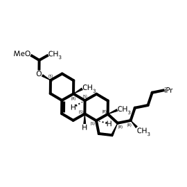 COC(C)O[C@H]1CC[C@@]2(C)C(=CC[C@H]3[C@@H]4CC[C@H]([C@H](C)CCCC(C)C)[C@@]4(C)CC[C@@H]32)C1